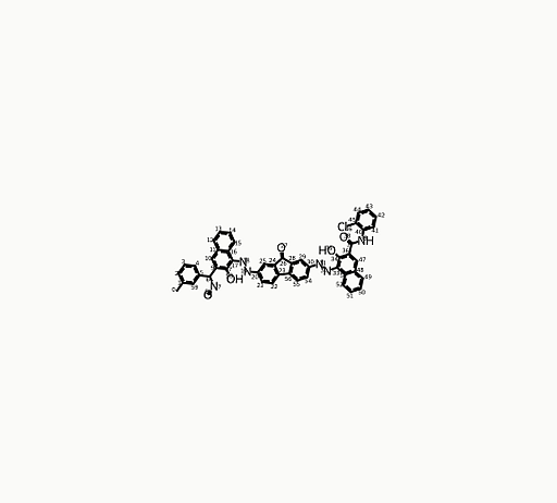 Cc1cccc(C(N=O)c2cc3ccccc3c(N=Nc3ccc4c(c3)C(=O)c3cc(N=Nc5c(O)c(C(=O)Nc6ccccc6Cl)cc6ccccc56)ccc3-4)c2O)c1